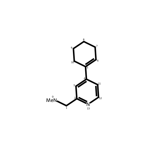 CNCc1cc(C2=CCCCC2)ccn1